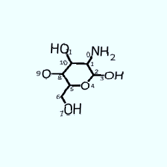 NC1C(O)OC(CO)C([O])C1O